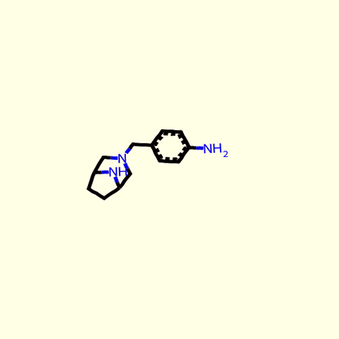 Nc1ccc(CN2CC3CCC(C2)N3)cc1